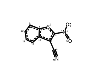 N#Cc1c([N+](=O)[O-])sc2ccccc12